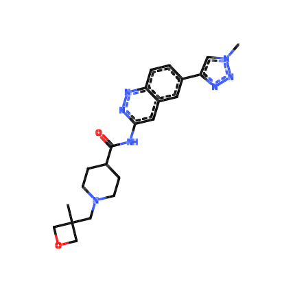 Cn1cc(-c2ccc3nnc(NC(=O)C4CCN(CC5(C)COC5)CC4)cc3c2)nn1